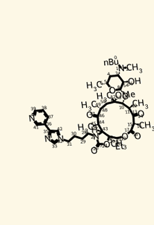 CCCCN(C)[C@H]1C[C@@H](C)O[C@@H](O[C@@H]2[C@@H](C)C(=O)[C@@H](C)C(=O)O[C@H](CC)[C@@]3(C)OC(=O)N(CCCCn4cnc(-c5cccnc5)c4)[C@@H]3[C@@H](C)C(=O)[C@H](C)C[C@@]2(C)OC)[C@@H]1O